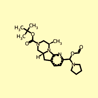 C[C@@H]1CN(C(=O)OC(C)(C)C)C[C@H]2Cc3ccc(C(OC=O)N4CCCC4)nc3N21